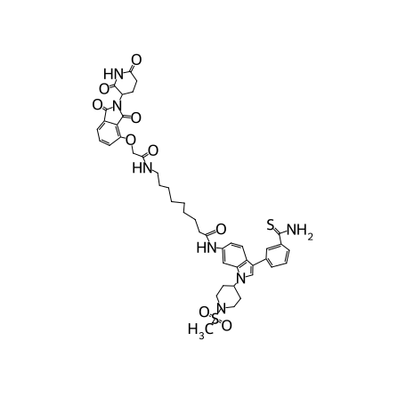 CS(=O)(=O)N1CCC(n2cc(-c3cccc(C(N)=S)c3)c3ccc(NC(=O)CCCCCCCCNC(=O)COc4cccc5c4C(=O)N(C4CCC(=O)NC4=O)C5=O)cc32)CC1